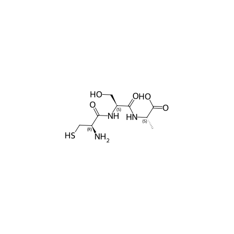 C[C@H](NC(=O)[C@H](CO)NC(=O)[C@@H](N)CS)C(=O)O